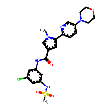 Cn1cc(C(=O)Nc2cc(Cl)cc(NS(C)(=O)=O)c2)cc1-c1ccc(N2CCOCC2)cn1